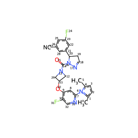 Cc1ccc(C)n1-c1cc(OC2CN(C(=O)N3N=CCC3c3cc(F)cc(C#N)c3)C2)c(F)cn1